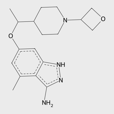 Cc1cc(OC(C)C2CCN(C3COC3)CC2)cc2[nH]nc(N)c12